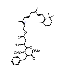 COC(=O)C(Cc1ccccc1)N(C=O)C(=O)C(N)CC(=O)OC/C=C(\C)C=CC=C(C)C=CC1=C(C)CCCC1(C)C